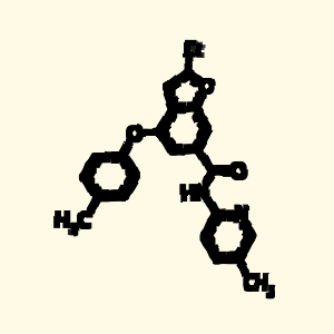 CCc1cc2c(Oc3ccc(C)cc3)cc(C(=O)Nc3ccc(C)cn3)cc2o1